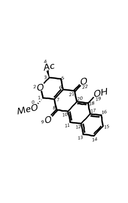 CO[C@@H]1O[C@@H](C(C)=O)CC2=C1C(=O)c1cc3ccccc3c(O)c1C2=O